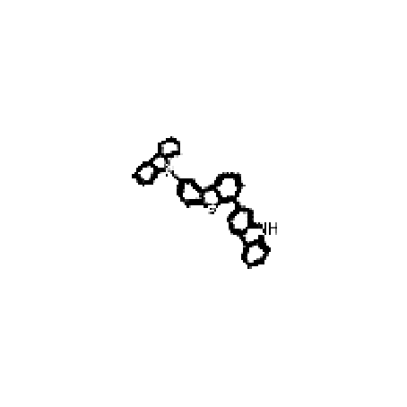 c1ccc2c(c1)[nH]c1cc(-c3cccc4c3sc3ccc(-n5c6ccccc6c6ccccc65)cc34)ccc12